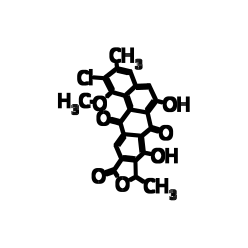 COc1c(Cl)c(C)cc2cc(O)c3c(c12)C(=O)c1cc2c(c(O)c1C3=O)C(C)OC2=O